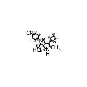 Cc1[nH]cc2c(=O)n(-c3ccc(Cl)cc3)nc-2c1-c1cccs1.Cl